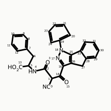 N#CC(C(=O)NC(Cc1ccccc1)C(=O)O)C(=O)c1nn(-c2ccccc2)c2c1Cc1ccccc1-2